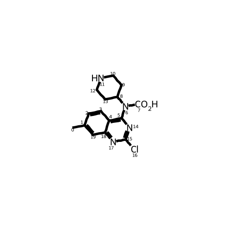 Cc1ccc2c(N(C(=O)O)C3CCNCC3)nc(Cl)nc2c1